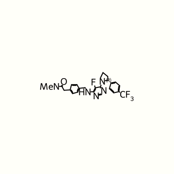 CNC(=O)Cc1ccc(CNc2ncnc(N3CCC[C@@H]3c3ccc(C(F)(F)F)cc3)c2F)cc1